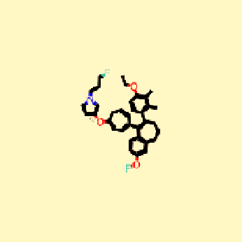 CCOc1ccc(C2=C(C3=CC=C(O[C@H]4CCN(CCCF)C4)CC=C3)c3ccc(OF)cc3CCC2)c(C)c1C